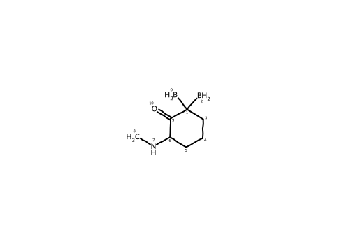 BC1(B)CCCC(NC)C1=O